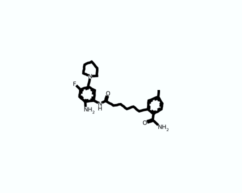 Cc1ccc(C(N)=O)c(CCCCCC(=O)Nc2cc(N3CCCCC3)c(F)cc2N)c1